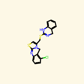 Clc1cccc2c1CN1C(CSC3=NCc4ccccc4N3)=CSC1=N2